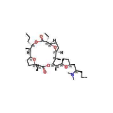 CCC[C@H](C[C@@H]1CC[C@H]([C@@H](C)[C@@H]2OC(=O)[C@@H](C)[C@H]3CC[C@H](O3)[C@@H](C)[C@H](CCC)OC(=O)[C@H](CC)[C@H]3CC[C@H](O3)[C@H]2C)O1)N(C)C